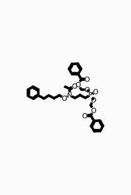 CC(=O)N(CCCP(=O)(OCOC(=O)c1ccccc1)OCOC(=O)c1ccccc1)OCCCCc1ccccc1